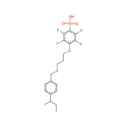 CCC(C)c1ccc(CSCCCSc2c(F)c(F)c(S(=O)(=O)O)c(F)c2F)cc1